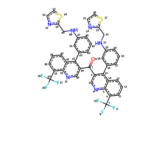 O=C(c1cnc2c(C(F)(F)F)cccc2c1-c1cccc(NCc2nccs2)c1)c1cnc2c(C(F)(F)F)cccc2c1-c1cccc(NCc2nccs2)c1